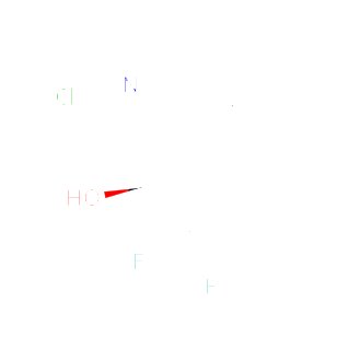 CN(Cl)[C@@H]1CCCC(F)(F)[C@H]1O